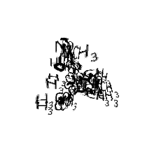 CC[C@H](C)[C@@H]([C@@H](CC(=O)N1CCC[C@H]1[C@H](OC)[C@@H](C)C(=O)N[C@@H](Cc1ccccc1)c1nccs1)OC)N(C)C(=O)[C@@H](NC(=O)[C@H](C(C)C)N(C)CCCCN(C)C(=O)OC(C)(C)C)C(C)C